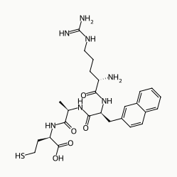 C[C@@H](NC(=O)[C@H](Cc1ccc2ccccc2c1)NC(=O)[C@@H](N)CCCNC(=N)N)C(=O)N[C@H](CCS)C(=O)O